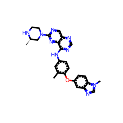 Cc1cc(Nc2ncnc3cnc(N4CCN[C@@H](C)C4)nc23)ccc1Oc1ccc2c(c1)ncn2C